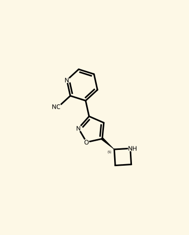 N#Cc1ncccc1-c1cc([C@@H]2CCN2)on1